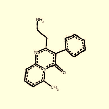 Cc1cccc2nc(CCN)c(-c3ccccc3)c(=O)n12